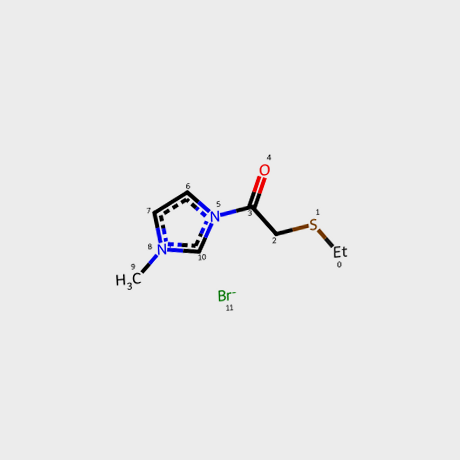 CCSCC(=O)n1cc[n+](C)c1.[Br-]